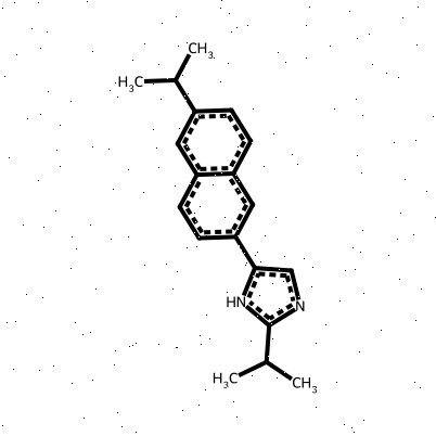 CC(C)c1ccc2cc(-c3cnc(C(C)C)[nH]3)ccc2c1